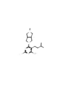 CC(C)CCc1c(N)nc(N)nc1N1C[C@H]2CN(C)C[C@H]2C1